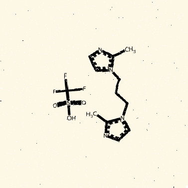 Cc1nccn1CCCn1ccnc1C.O=S(=O)(O)C(F)(F)F